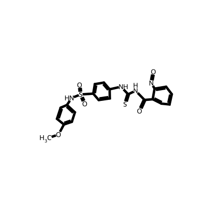 COc1ccc(NS(=O)(=O)c2ccc(NC(=S)NC(=O)c3ccccc3N=O)cc2)cc1